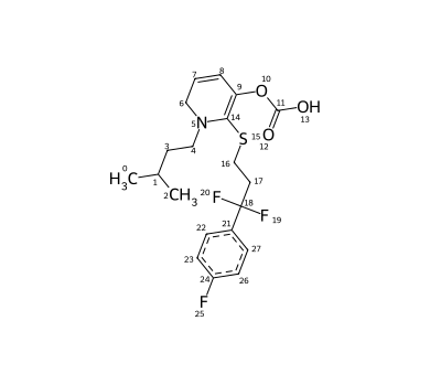 CC(C)CCN1CC=CC(OC(=O)O)=C1SCCC(F)(F)c1ccc(F)cc1